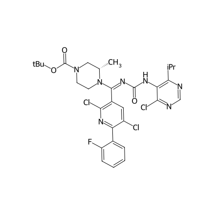 CC(C)c1ncnc(Cl)c1NC(=O)/N=C(\c1cc(Cl)c(-c2ccccc2F)nc1Cl)N1CCN(C(=O)OC(C)(C)C)C[C@@H]1C